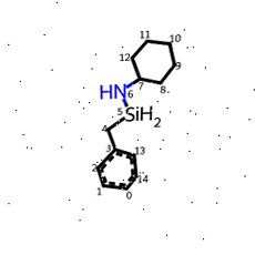 c1ccc(C[SiH2]NC2CCCCC2)cc1